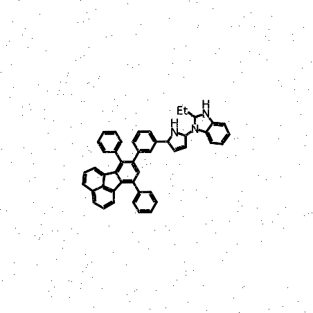 CCC1Nc2ccccc2N1C1C=CC(c2cccc(-c3cc(-c4ccccc4)c4c(c3-c3ccccc3)-c3cccc5cccc-4c35)c2)N1